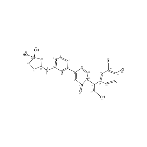 O=c1cc(-c2ccnc(NC3CCS(O)(O)C3)n2)ccn1[C@H](CO)c1ccc(Cl)c(F)c1